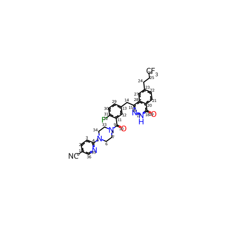 N#Cc1ccc(N2CCN(C(=O)c3cc(Cc4n[nH]c(=O)c5ccc(CCC(F)(F)F)cc45)ccc3F)CC2)nc1